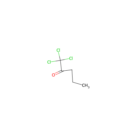 CCCC(=O)C(Cl)(Cl)Cl